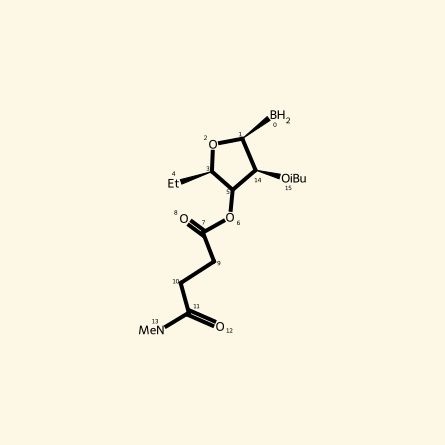 B[C@@H]1O[C@H](CC)C(OC(=O)CCC(=O)NC)[C@@H]1OCC(C)C